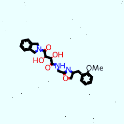 COc1ccccc1CC1COC(CNC(=O)[C@H](O)[C@@H](O)C(=O)N2Cc3ccccc3C2)=N1